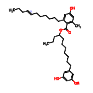 CCC/C=C/CCCCCCc1cc(O)cc(C)c1C(=O)OC(CCC)CCCCCCCc1cc(O)cc(O)c1